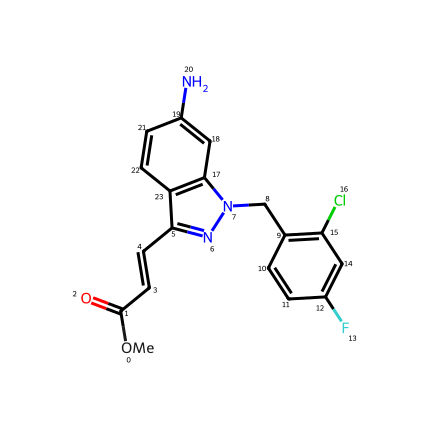 COC(=O)/C=C/c1nn(Cc2ccc(F)cc2Cl)c2cc(N)ccc12